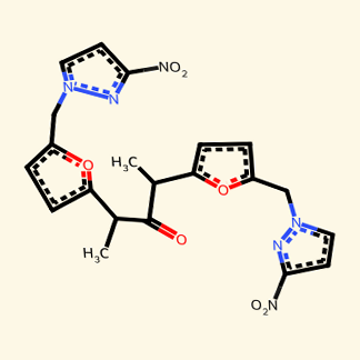 CC(C(=O)C(C)c1ccc(Cn2ccc([N+](=O)[O-])n2)o1)c1ccc(Cn2ccc([N+](=O)[O-])n2)o1